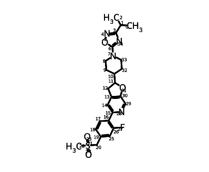 CC(C)c1noc(N2CCC(C3Cc4cc(-c5ccc(CS(C)(=O)=O)cc5F)ncc4O3)CC2)n1